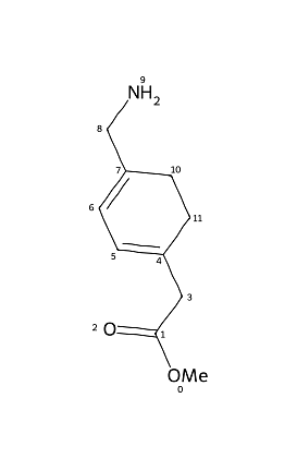 COC(=O)CC1=CC=C(CN)CC1